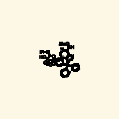 CONC1N=CN(C[C@H](C)O[C@@H](OC(C)C)P(=O)(O)O)c2c1ncn2C(c1ccccc1)(c1ccccc1)c1ccccc1